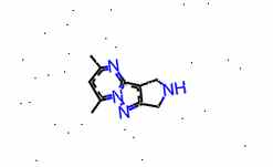 Cc1cc(C)n2nc3c(c2n1)CNC3